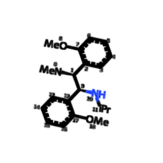 CN[C@@H](c1ccccc1OC)[C@@H](NC(C)C)c1ccccc1OC